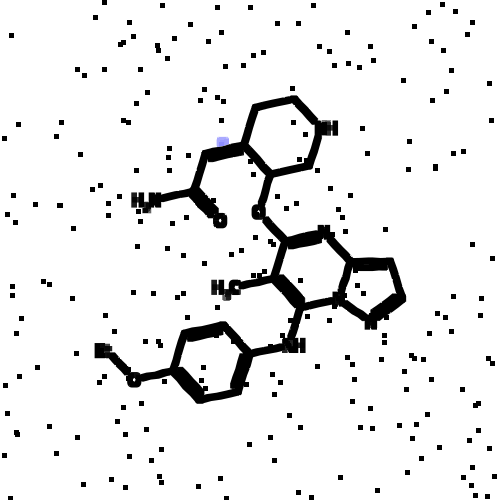 CCOc1ccc(Nc2c(C)c(OC3CNCC/C3=C/C(N)=O)nc3ccnn23)cc1